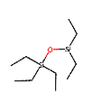 CC[Si](CC)O[Si](CC)(CC)CC